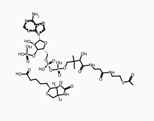 CC(=O)SCCNC(=O)CCNC(=O)C(O)C(C)(C)COP(=O)(O)OP(=O)(O)OC[C@H]1O[C@@H](n2cnc3c(N)ncnc32)[C@H](O)[C@@H]1OP(=O)(O)O.O=C(O)CCCC[C@@H]1SC[C@@H]2NC(=O)N[C@@H]21